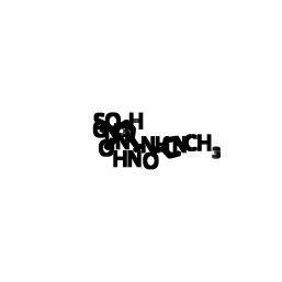 CN1CCC(C(=O)NC(=N)C2CCC3CN2C(=O)N3OS(=O)(=O)O)CC1